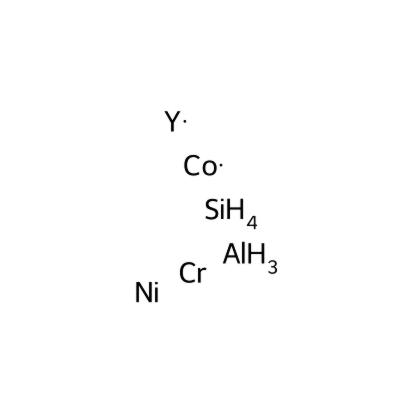 [AlH3].[Co].[Cr].[Ni].[SiH4].[Y]